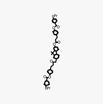 CCCc1ccc(C(=O)Oc2ccc(CCC(=O)Cc3ccc4c(c3)C(C)(C)c3cc(OC(=O)CCc5ccc(OC(=O)c6ccc(CCC)cc6)cc5)ccc3-4)cc2)cc1